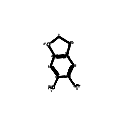 CCCc1cc2c(cc1O)OCC2